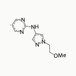 COCCn1cc(Nc2nc[c]cn2)cn1